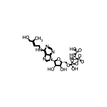 C/C(=C\CNc1ncnc2c1ncn2[C@@H]1O[C@H](COP(=O)(O)OP(=O)(O)OP(=O)(O)O)[C@@H](O)[C@H]1O)CO